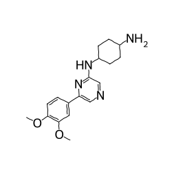 COc1ccc(-c2cncc(NC3CCC(N)CC3)n2)cc1OC